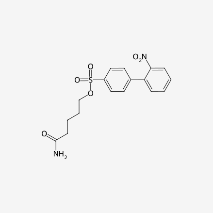 NC(=O)CCCCOS(=O)(=O)c1ccc(-c2ccccc2[N+](=O)[O-])cc1